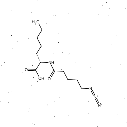 CCCCC[C@H](NC(=O)CCCCN=[N+]=[N-])C(=O)O